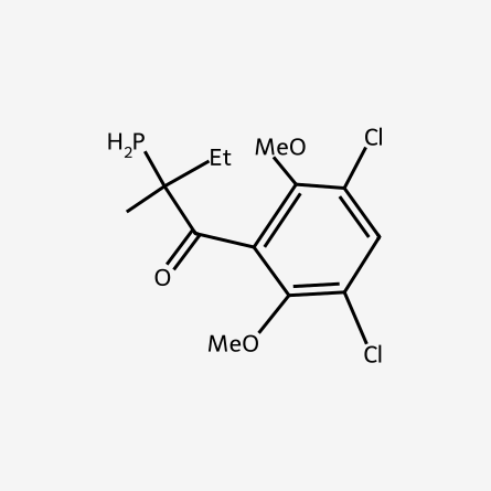 CCC(C)(P)C(=O)c1c(OC)c(Cl)cc(Cl)c1OC